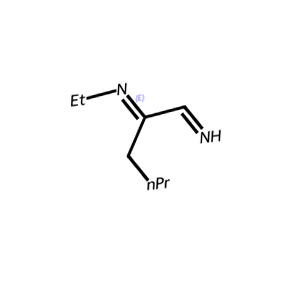 CCCC/C(C=N)=N\CC